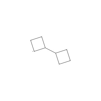 [CH]1CCC1C1CCC1